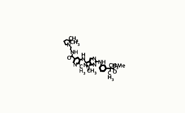 COC(=O)C(C)(C)c1cccc(Nc2ncc3c(Nc4cc(C(=O)NCCN5CCCC5(C)C)cnc4C)nn(C)c3n2)c1